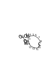 O=C1O[C@H]2CCCCCCCCCCC[C@H]2O1